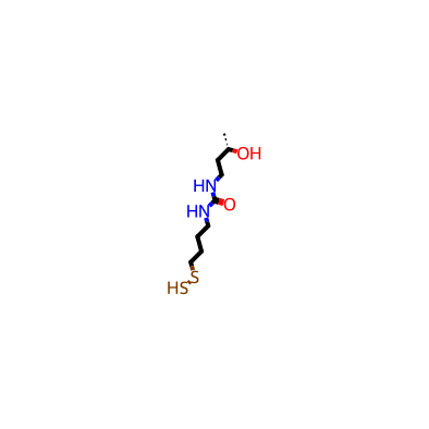 C[C@H](O)CCNC(=O)NCCCCSS